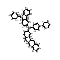 c1ccc(-c2ccc(N(c3cnc4oc5cc6ccccc6cc5c4c3)c3ccc4c(c3)c3ccccc3n4-c3ccccc3)cc2)cc1